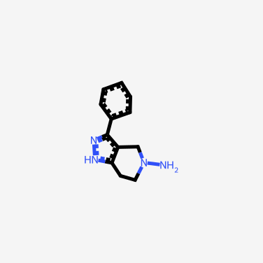 NN1CCc2[nH]nc(-c3ccccc3)c2C1